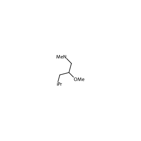 CNCC(CC(C)C)OC